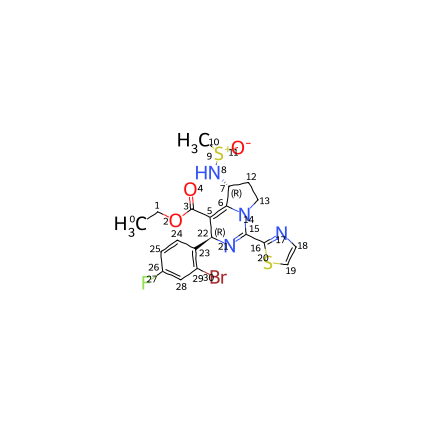 CCOC(=O)C1=C2[C@H](N[S+](C)[O-])CCN2C(c2nccs2)=N[C@H]1c1ccc(F)cc1Br